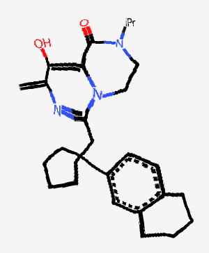 C=C1N=C(CC2(c3ccc4c(c3)CCCC4)CCCC2)N2CCN(C(C)C)C(=O)C2=C1O